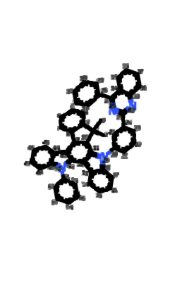 CC1(C)c2ccccc2-c2c1c1c(c3ccccc3n1-c1cccc(-c3nc(-c4ccccc4)c4ccccc4n3)c1)c1c2c2ccccc2n1-c1ccccc1